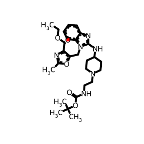 CCOC(=O)c1nc(C)oc1Cn1c(NC2CCN(CCNC(=O)OC(C)(C)C)CC2)nc2ccccc21